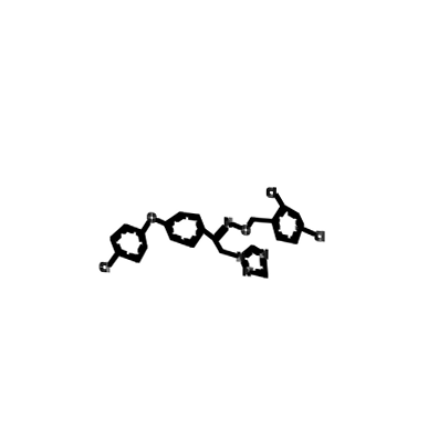 Clc1ccc(Oc2ccc(C(Cn3cncn3)=NOCc3ccc(Cl)cc3Cl)cc2)cc1